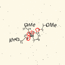 COCCOC1CCC[Si](OCCOC)(OCCOC)O1